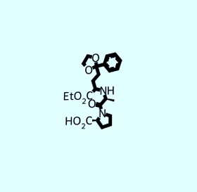 CCOC(=O)C(CCC1(c2ccccc2)OCCO1)N[C@@H](C)C(=O)N1CCC[C@H]1C(=O)O